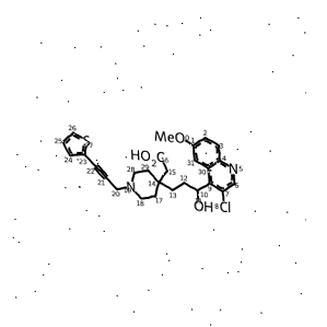 COc1ccc2ncc(Cl)c(C(O)CCC3(CC(=O)O)CCN(CC#Cc4cccs4)CC3)c2c1